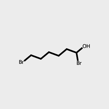 OC(Br)CCCCCBr